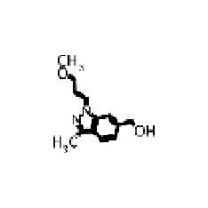 COCCCn1nc(C)c2ccc(CO)cc21